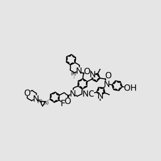 Cc1c(N(C(=O)c2cc(-c3cc4c(cc3C(=O)N3Cc5ccccc5C[C@H]3C)CN(C(=O)Cc3ccc([C@@H]5C[C@H]5N5CCOCC5)cc3F)CC4)n(C)c2C)c2ccc(O)cc2)cc(C#N)n1C